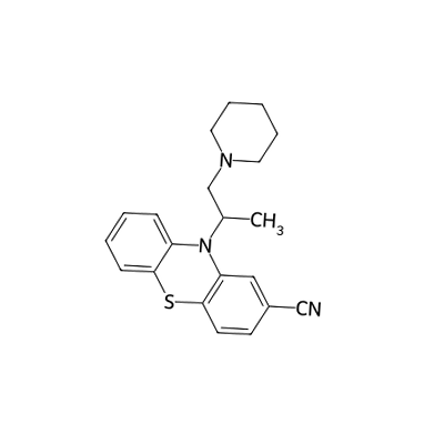 CC(CN1CCCCC1)N1c2ccccc2Sc2ccc(C#N)cc21